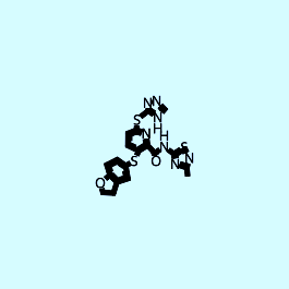 Cc1nsc(NC(=O)c2nc(Sc3nnc[nH]3)ccc2Sc2ccc3c(c2)CCO3)n1